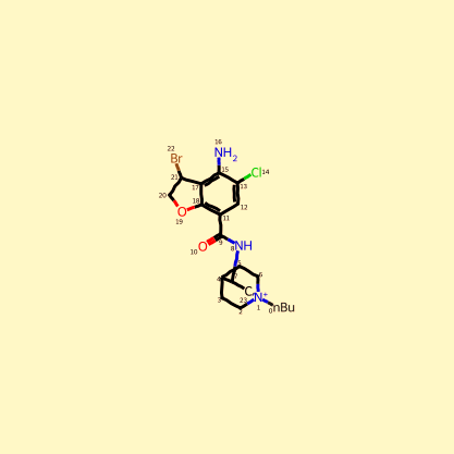 CCCC[N+]12CCC(CC1)C(NC(=O)c1cc(Cl)c(N)c3c1OCC3Br)C2